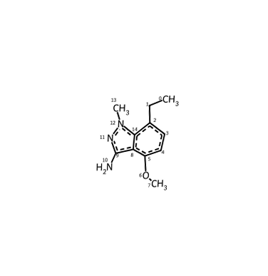 CCc1ccc(OC)c2c(N)nn(C)c12